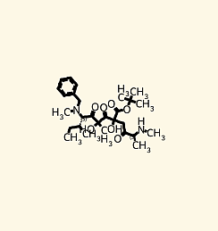 CCC(C)[C@@H](C(=O)C(C)(O)C(=O)C(O)(CC(=O)[C@H](C)NC)C(=O)OC(C)(C)C)N(C)Cc1ccccc1